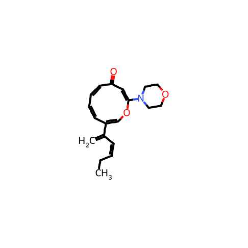 C=C(/C=C\CC)c1ccccc(=O)cc(N2CCOCC2)oc1